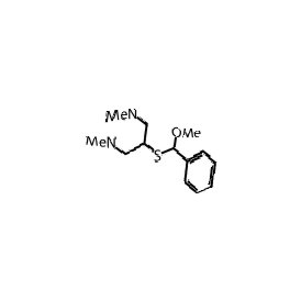 CNCC(CNC)SC(OC)c1ccccc1